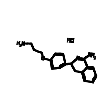 Cl.NCCCOc1ccc(C2Cc3ccccc3C(N)=N2)cc1